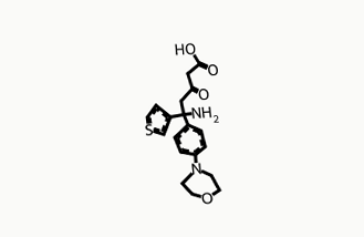 NC(CC(=O)CC(=O)O)(c1ccc(N2CCOCC2)cc1)c1ccsc1